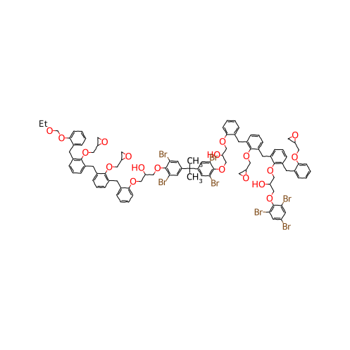 CCOCOc1ccccc1Cc1cccc(Cc2cccc(Cc3ccccc3OCC(O)COc3c(Br)cc(C(C)(C)c4cc(Br)c(OCC(O)COc5ccccc5Cc5cccc(Cc6cccc(Cc7ccccc7OCC7CO7)c6OCC(O)COc6c(Br)cc(Br)cc6Br)c5OCC5CO5)c(Br)c4)cc3Br)c2OCC2CO2)c1OCC1CO1